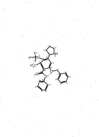 Cc1c(OC(F)(F)F)c(C2CCCN2)cc(OCc2ccccc2)c1C(=O)Oc1ccccc1